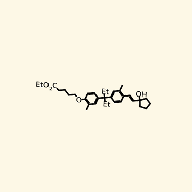 CCOC(=O)CCCCOc1ccc(C(CC)(CC)c2ccc(C=CC3(O)CCCC3)c(C)c2)cc1C